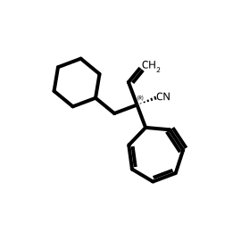 C=C[C@](C#N)(CC1CCCCC1)C1C#CC=CC=C1